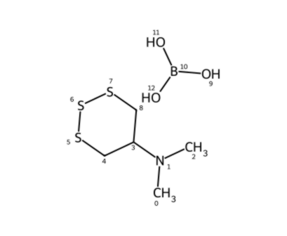 CN(C)C1CSSSC1.OB(O)O